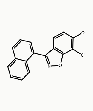 [O]c1ccc2c(-c3cccc4ccccc34)noc2c1Cl